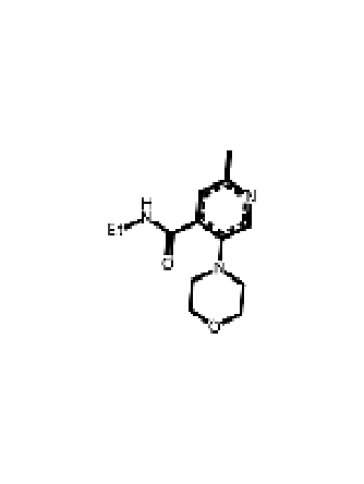 CCNC(=O)c1cc(C)ncc1N1CCOCC1